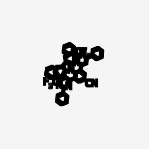 N#Cc1cc(-c2cc(-c3ccccc3)nc(-c3ccccc3)n2)c(-n2c3cc(C(F)(F)F)ccc3c3ccc(C(F)(F)F)cc32)c(-c2cc(-c3ccccc3)nc(-c3ccccc3)n2)c1